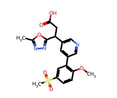 COc1ccc(S(C)(=O)=O)cc1-c1cncc(C(CC(=O)O)c2nnc(C)o2)c1